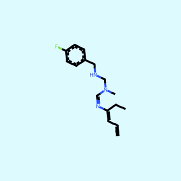 C=C/C=C(CC)/N=C\N(C)CNCc1ccc(F)cc1